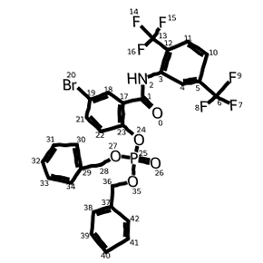 O=C(Nc1cc(C(F)(F)F)ccc1C(F)(F)F)c1cc(Br)ccc1OP(=O)(OCc1ccccc1)OCc1ccccc1